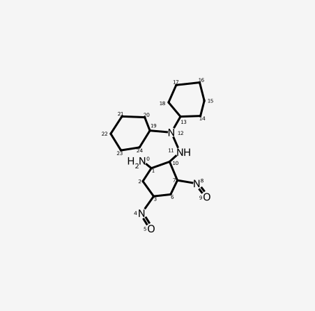 NC1CC(N=O)CC(N=O)C1NN(C1CCCCC1)C1CCCCC1